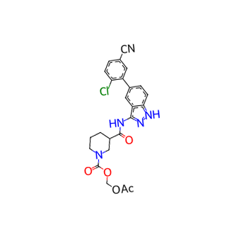 CC(=O)OCOC(=O)N1CCCC(C(=O)Nc2n[nH]c3ccc(-c4cc(C#N)ccc4Cl)cc23)C1